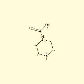 O=C(O)[SH]1CCNCC1